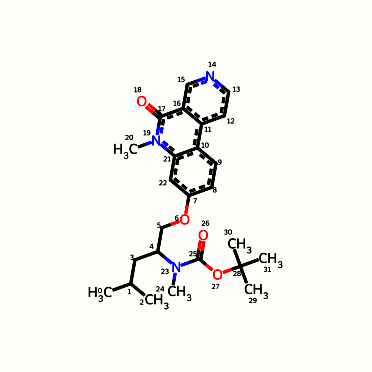 CC(C)CC(COc1ccc2c3ccncc3c(=O)n(C)c2c1)N(C)C(=O)OC(C)(C)C